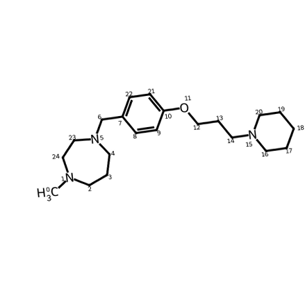 CN1CCCN(Cc2ccc(OCCCN3CCCCC3)cc2)CC1